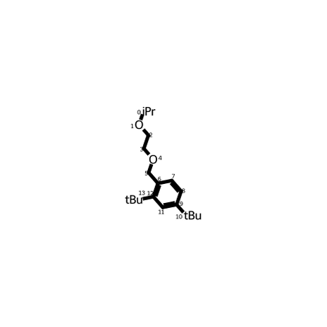 CC(C)OCCOCc1ccc(C(C)(C)C)cc1C(C)(C)C